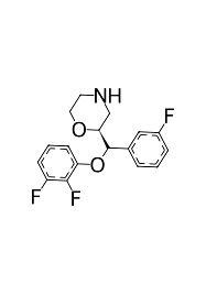 Fc1cccc(C(Oc2cccc(F)c2F)[C@@H]2CNCCO2)c1